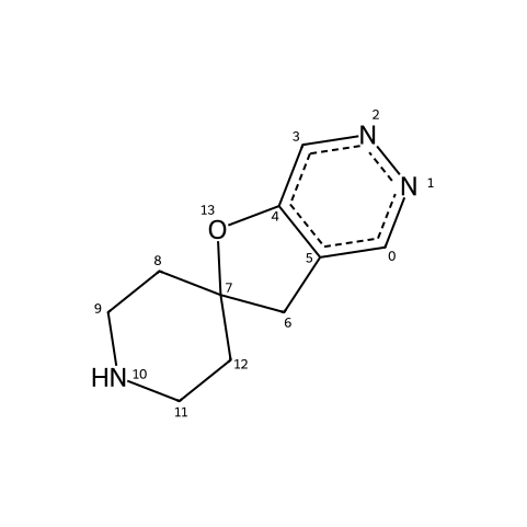 c1nncc2c1CC1(CCNCC1)O2